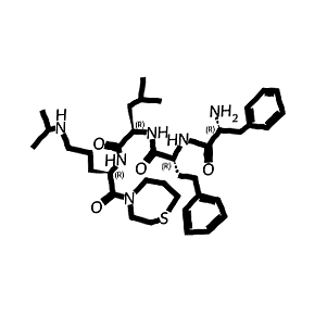 CC(C)C[C@@H](NC(=O)[C@@H](CCc1ccccc1)NC(=O)[C@H](N)Cc1ccccc1)C(=O)N[C@H](CCCNC(C)C)C(=O)N1CCCSCC1